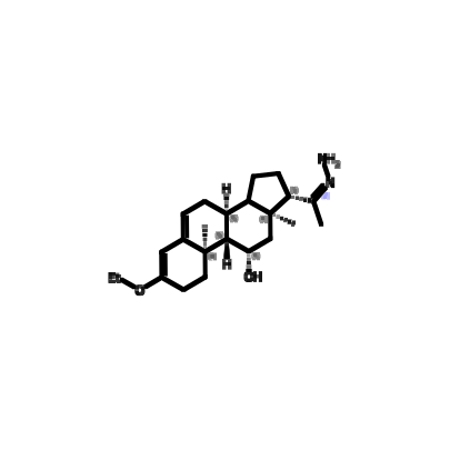 CCOC1=CC2=CC[C@H]3C4CC[C@H](/C(C)=N\N)[C@@]4(C)C[C@H](O)[C@@H]3[C@@]2(C)CC1